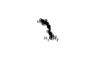 CC(C)(C)OC(=O)N1CCN(C(=O)CCCN2CCN(c3ccc4c(c3)C(=O)N(C3CCC(=O)NC3=O)C4=O)CC2)CC1